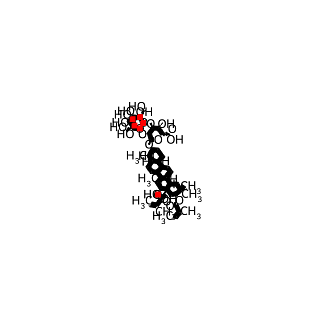 C/C=C(/C)C(=O)O[C@H]1[C@H](OC(=O)/C(C)=C\C)[C@]2(CO)[C@H](O)C[C@]3(C)C(=CC[C@@H]4[C@@]5(C)CC[C@H](O[C@@H]6O[C@H](C(=O)O)[C@@H](O)[C@H](O[C@@H]7O[C@@H](CO)[C@H](O)[C@H]7O)[C@H]6O[C@@H]6O[C@H](CO)[C@H](O)[C@H](O)[C@H]6O)[C@@H](C)[C@@H]5CC[C@]43C)[C@@H]2CC1(C)C